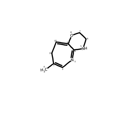 CC1=CN=C2NCCOC2=CC1